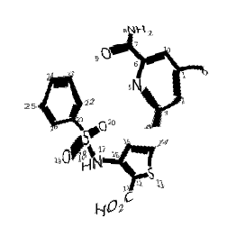 Cc1cc(C)nc(C(N)=O)c1.O=C(O)c1sccc1NS(=O)(=O)c1ccccc1